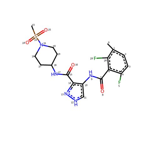 Cc1ccc(F)c(C(=O)Nc2c[nH]nc2C(=O)NC2CCN(S(C)(=O)=O)CC2)c1F